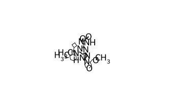 COCC1COCCN1c1nc2nc(-c3noc(=O)[nH]3)nc(N[C@H](C)C3CCC3)c2n1C[C@H]1CC[C@H](C)CC1